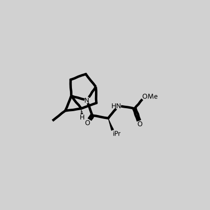 COC(=O)N[C@H](C(=O)N1C2CCC13C(C)[C@@H]3C2)C(C)C